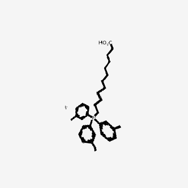 Cc1cccc([P+](CCCCCCCCCCCC(=O)O)(c2cccc(C)c2)c2cccc(C)c2)c1.[I-]